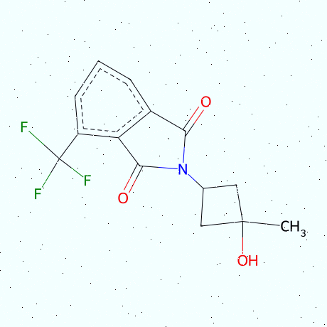 CC1(O)CC(N2C(=O)c3cccc(C(F)(F)F)c3C2=O)C1